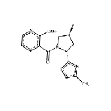 COc1ncccc1C(=O)N1C[C@@H](F)C[C@@H]1c1nc(C)cs1